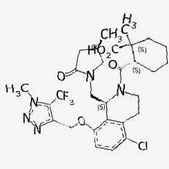 C[C@@H]1CC(=O)N(C[C@@H]2c3c(OCc4nnn(C)c4C(F)(F)F)ccc(Cl)c3CCN2C(=O)[C@H]2CCCC[C@]2(C)C(=O)O)C1